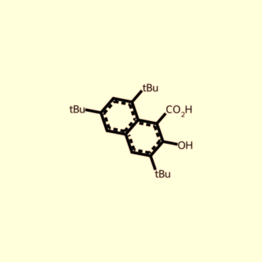 CC(C)(C)c1cc(C(C)(C)C)c2c(C(=O)O)c(O)c(C(C)(C)C)cc2c1